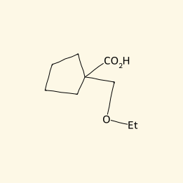 CCOCC1(C(=O)O)CCCC1